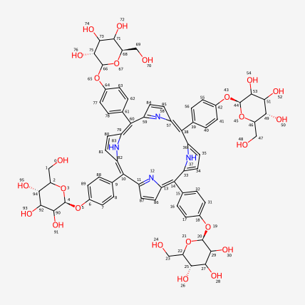 OCC1O[C@@H](Oc2ccc(-c3c4nc(c(-c5ccc(O[C@@H]6OC(CO)[C@@H](O)C(O)C6O)cc5)c5ccc([nH]5)c(-c5ccc(O[C@@H]6OC(CO)[C@@H](O)C(O)C6O)cc5)c5nc(c(-c6ccc(OC7O[C@H](CO)C(O)C(O)[C@H]7O)cc6)c6ccc3[nH]6)C=C5)C=C4)cc2)C(O)C(O)[C@@H]1O